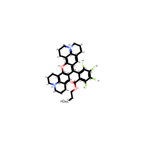 CCCCCCCCCCCCOC(=O)c1c(F)c(F)c(F)c(F)c1C1=c2cc3c4c(c2Oc2c1cc1c5c2CCCN5CCC1)CCC[N+]=4CCC3